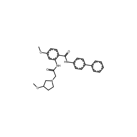 COc1ccc(C(=O)Nc2ccc(-c3ccccc3)cc2)c(NC(=O)CN2CCC(OC)C2)c1